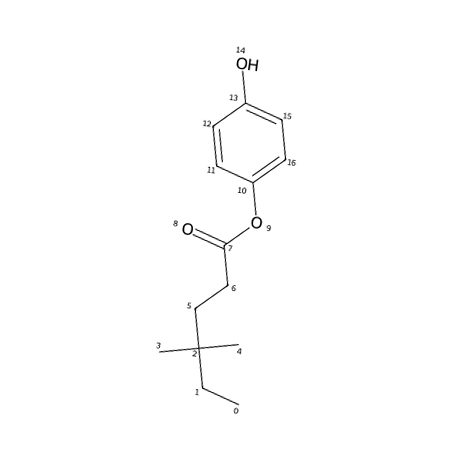 CCC(C)(C)CCC(=O)Oc1ccc(O)cc1